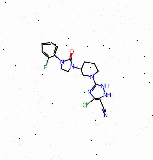 N#CC1=C(Cl)N=C(N2CCCC(N3CCN(c4ccccc4F)C3=O)C2)NN1